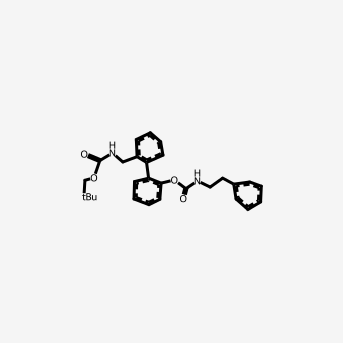 CC(C)(C)COC(=O)NCc1ccccc1-c1ccccc1OC(=O)NCCc1ccccc1